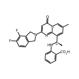 Cc1cc([C@@H](C)Nc2ccccc2C(=O)O)c2nc(N3Cc4ccc(F)c(F)c4C3)cc(=O)n2c1